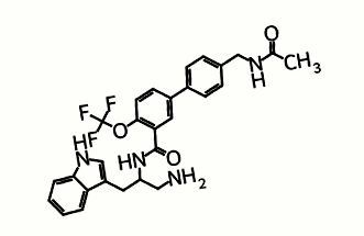 CC(=O)NCc1ccc(-c2ccc(OC(F)(F)F)c(C(=O)NC(CN)Cc3c[nH]c4ccccc34)c2)cc1